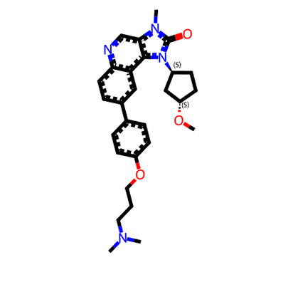 CO[C@H]1CC[C@H](n2c(=O)n(C)c3cnc4ccc(-c5ccc(OCCCN(C)C)cc5)cc4c32)C1